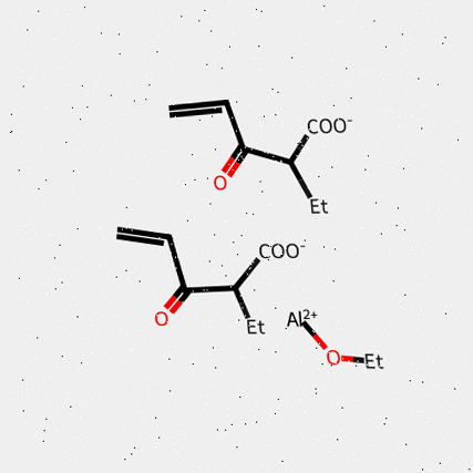 C=CC(=O)C(CC)C(=O)[O-].C=CC(=O)C(CC)C(=O)[O-].CC[O][Al+2]